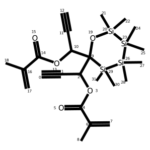 C#CC(OC(=O)C(=C)C)C1(C(C#C)OC(=O)C(=C)C)O[Si](C)(C)[Si](C)(C)[Si](C)(C)[Si]1(C)C